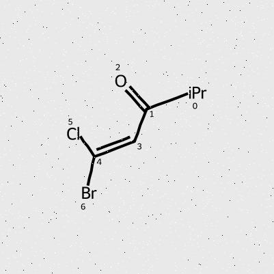 CC(C)C(=O)/C=C(\Cl)Br